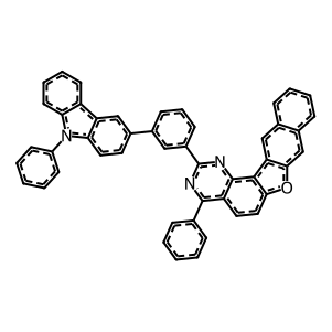 c1ccc(-c2nc(-c3cccc(-c4ccc5c(c4)c4ccccc4n5-c4ccccc4)c3)nc3c2ccc2oc4cc5ccccc5cc4c23)cc1